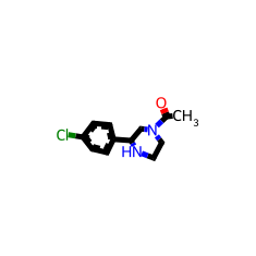 CC(=O)N1CCNC(c2ccc(Cl)cc2)C1